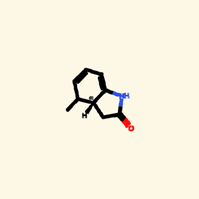 CC1C=CC=C2NC(=O)C[C@@H]21